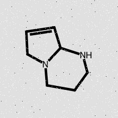 [CH]1CCN2CC=CC2N1